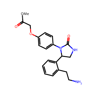 COC(=O)COc1ccc(N2C(=O)NCC2c2ccccc2CCN)cc1